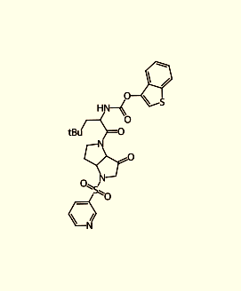 CC(C)(C)CC(NC(=O)Oc1csc2ccccc12)C(=O)N1CCC2C1C(=O)CN2S(=O)(=O)c1cccnc1